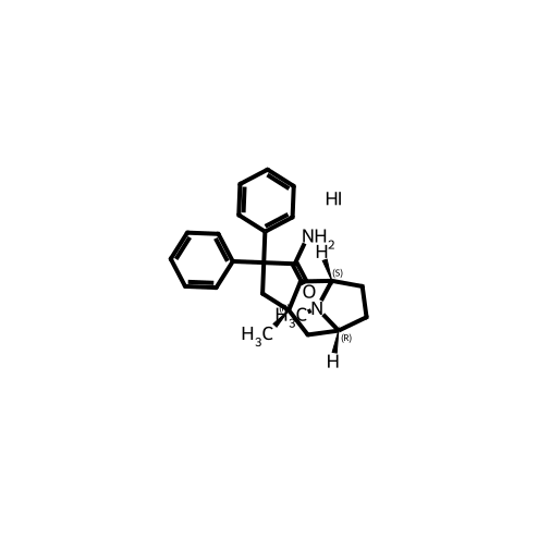 CN1[C@@H]2CC[C@H]1C[C@@](C)(CC(C(N)=O)(c1ccccc1)c1ccccc1)C2.I